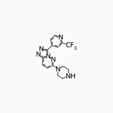 FC(F)(F)c1cc(-c2nnc3ccc(N4CCNCC4)nn23)ccn1